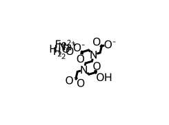 O.O.O=C([O-])CN(CCN(CC(=O)[O-])CC(=O)O)CC(=O)[O-].[Fe+2].[Na+]